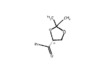 CC(C)C(=O)[C@H]1COC(C)(C)O1